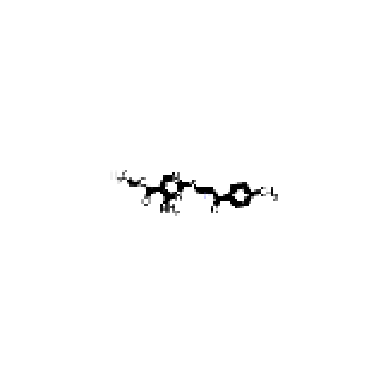 CCOC(=O)c1cnc(S/C=C/C(=O)c2ccc(C)cc2)nc1N